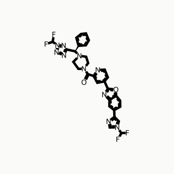 O=C(c1cc(-c2nc3cc(-c4cn(C(F)F)cn4)ccc3o2)ccn1)N1CCN([C@H](c2ccccc2)c2nnn(C(F)F)n2)CC1